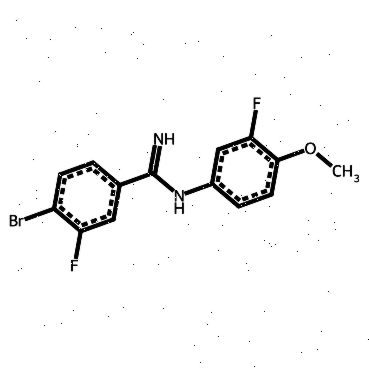 COc1ccc(NC(=N)c2ccc(Br)c(F)c2)cc1F